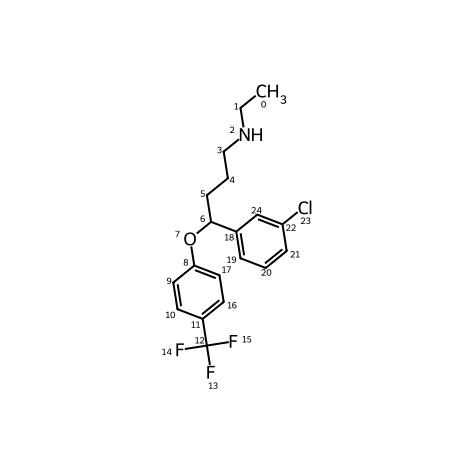 CCNCCCC(Oc1ccc(C(F)(F)F)cc1)c1cccc(Cl)c1